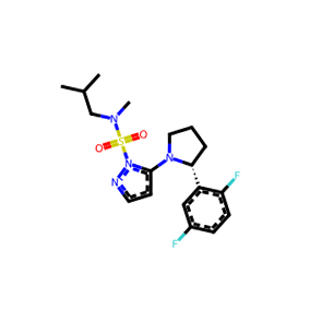 CC(C)CN(C)S(=O)(=O)n1nccc1N1CCC[C@@H]1c1cc(F)ccc1F